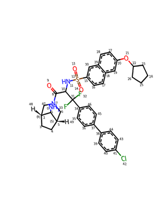 NC1[C@@H]2CC[C@H]1CN(C(=O)C(NS(=O)(=O)c1ccc3cc(OC4CCCC4)ccc3c1)C(F)(F)c1ccc(-c3ccc(Cl)cc3)cc1)C2